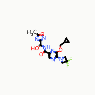 Cc1nc([C@@H](O)NC(=O)c2cnc(N3CC(F)(F)C3)c(OCC3CC3)n2)no1